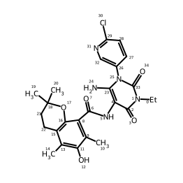 CCn1c(=O)c(NC(=O)c2c(C)c(O)c(C)c3c2OC(C)(C)CC3)c(N)n(-c2ccc(Cl)nc2)c1=O